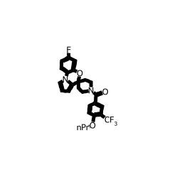 CCCOc1ccc(C(=O)N2CCC3(CC2)Oc2cc(F)ccc2-n2cccc23)cc1C(F)(F)F